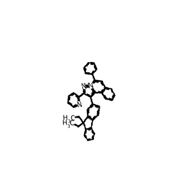 CCC1(CC)c2ccccc2-c2ccc(-c3c(-c4ccccn4)nn4c(-c5ccccc5)cc5ccccc5c34)cc21